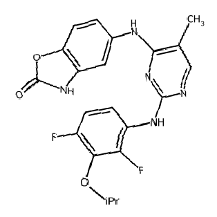 Cc1cnc(Nc2ccc(F)c(OC(C)C)c2F)nc1Nc1ccc2oc(=O)[nH]c2c1